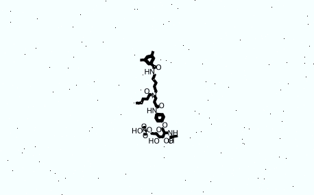 CCCCC(=O)N(CCCCCNC(=O)c1cc(C)cc(C)c1)CCC(=O)Nc1ccc(OC2OC(COS(=O)(=O)O)C(O)C(O)C2NC(C)=O)cc1